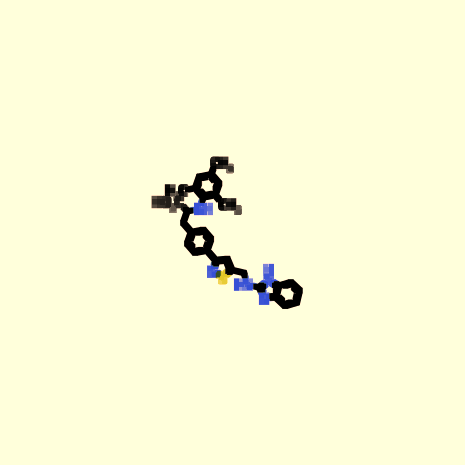 Cc1cc(C)c(NC(Cc2ccc(-c3cc(CNc4nc5ccccc5[nH]4)sn3)cc2)C(=O)O)c(C)c1